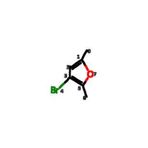 Cc1[c]c(Br)c(C)o1